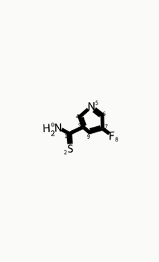 NC(=S)c1cncc(F)c1